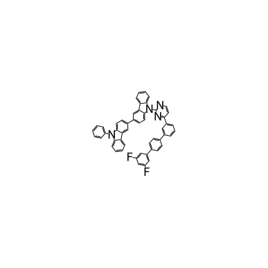 Fc1cc(F)cc(-c2ccc(-c3cccc(-c4ccnc(-n5c6ccccc6c6cc(-c7ccc8c(c7)c7ccccc7n8-c7ccccc7)ccc65)n4)c3)cc2)c1